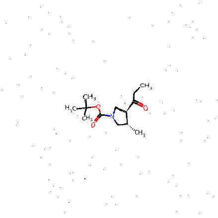 CCC(=O)[C@@H]1CN(C(=O)OC(C)(C)C)C[C@H]1C